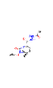 CCCCON1C(=O)N2C[C@@H]1CC[C@H]2C(=O)NNC(=O)C(C)(C)C